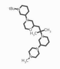 CN1CCN(C2CCCN(C(C)(C)CC3CN(C4CCCN(C(C)(C)C)C4)CCO3)C2)CC1